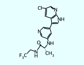 C[C@@H](Nc1cncc(-c2c[nH]c3ncc(Cl)cc23)c1)C(=O)NCC(F)(F)F